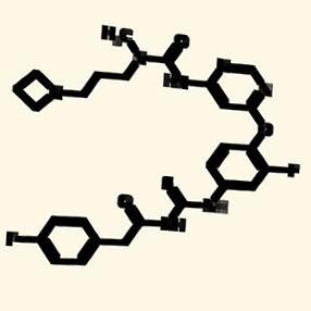 CN(CCCN1CCC1)C(=O)Nc1cc(Oc2ccc(NC(=S)NC(=O)Cc3ccc(F)cc3)cc2F)ncn1